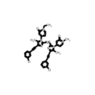 CCn1ccc(-n2c(C)nc(C#Cc3cccc(Cl)c3)c2C)cc1=O.Cc1nc(C#Cc2cccc(Cl)c2)c(C)n1-c1ccn(C)c(=O)c1